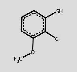 FC(F)(F)Oc1cccc(S)c1Cl